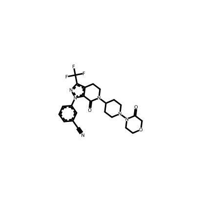 N#Cc1cccc(-n2nc(C(F)(F)F)c3c2C(=O)N(C2CCN(N4CCOCC4=O)CC2)CC3)c1